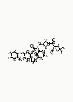 CC(C)(C)C=C(C#N)C(=O)N1CC(Cn2c(=O)n(-c3ccc(Oc4ccccc4)cc3)c3c(N)ncnc32)C1